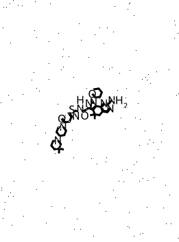 CC1(C)CCCN(C2CCN(C(=O)Cc3csc(NC(=O)c4nn(C5CCCCO5)c5c4C(C)(C)Cc4cnc(N)nc4-5)n3)CC2)C1